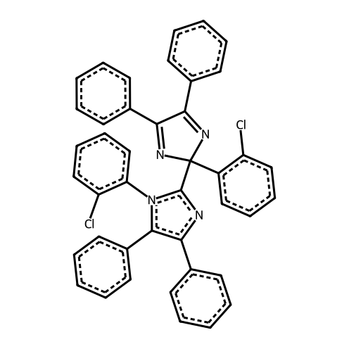 Clc1ccccc1-n1c(C2(c3ccccc3Cl)N=C(c3ccccc3)C(c3ccccc3)=N2)nc(-c2ccccc2)c1-c1ccccc1